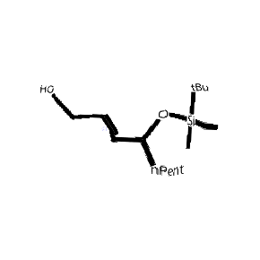 CCCCCC(/C=C/CO)O[Si](C)(C)C(C)(C)C